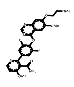 CNCCOc1cc2ncnc(Oc3c(F)cc(-c4nccc(OC)c4C(N)=O)cc3F)c2cc1OC